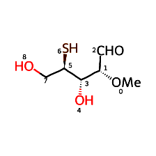 CO[C@@H](C=O)[C@H](O)[C@H](S)CO